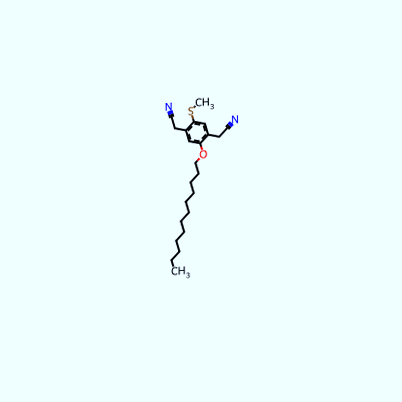 CCCCCCCCCCCCOc1cc(CC#N)c(SC)cc1CC#N